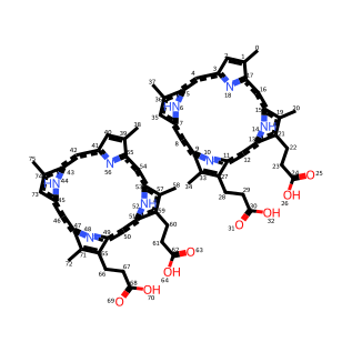 CC1=Cc2cc3[nH]c(cc4nc(cc5[nH]c(cc1n2)c(C)c5CCC(=O)O)C(CCC(=O)O)=C4C)cc3C.CC1=Cc2cc3[nH]c(cc4nc(cc5[nH]c(cc1n2)c(C)c5CCC(=O)O)C(CCC(=O)O)=C4C)cc3C